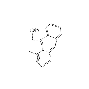 Cc1cccc2cc3ccccc3c(CO)c12